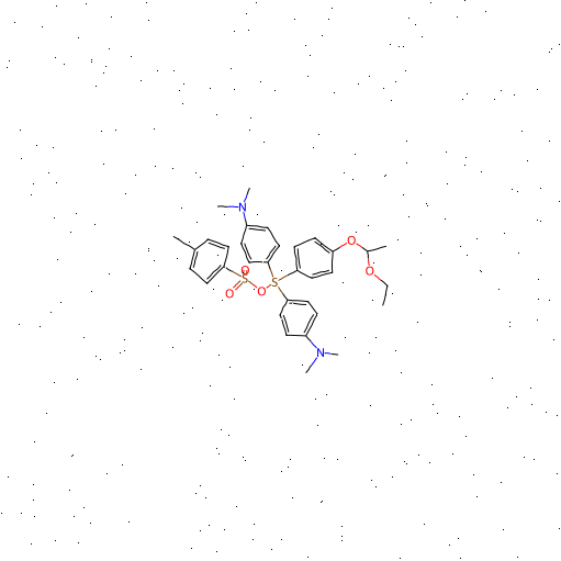 CCOC(C)Oc1ccc(S(OS(=O)(=O)c2ccc(C)cc2)(c2ccc(N(C)C)cc2)c2ccc(N(C)C)cc2)cc1